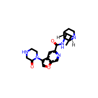 C[C@H]1[C@H](NC(=O)c2cc3c(N4CCNCC4=O)coc3cn2)C2CCN1CC2